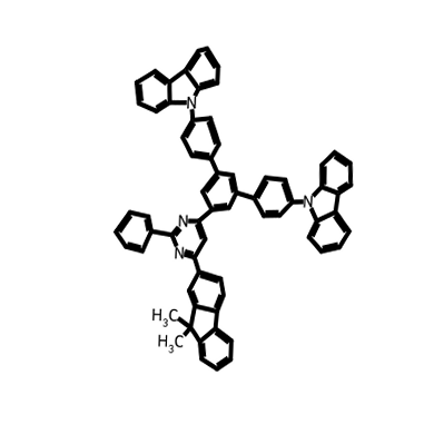 CC1(C)c2ccccc2-c2ccc(-c3cc(-c4cc(-c5ccc(-n6c7ccccc7c7ccccc76)cc5)cc(-c5ccc(-n6c7ccccc7c7ccccc76)cc5)c4)nc(-c4ccccc4)n3)cc21